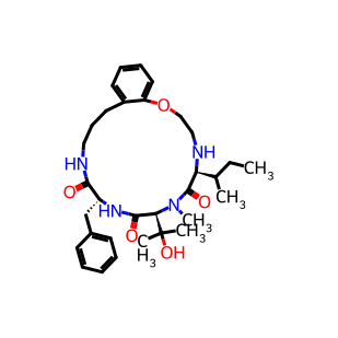 CCC(C)[C@@H]1NCCOc2ccccc2CCCNC(=O)[C@@H](Cc2ccccc2)NC(=O)[C@H](C(C)(C)O)N(C)C1=O